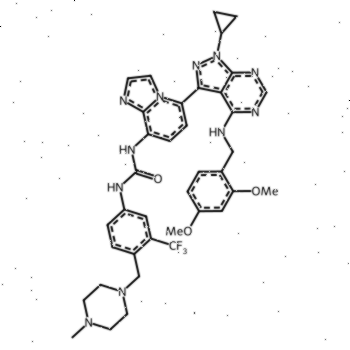 COc1ccc(CNc2ncnc3c2c(-c2ccc(NC(=O)Nc4ccc(CN5CCN(C)CC5)c(C(F)(F)F)c4)c4nccn24)nn3C2CC2)c(OC)c1